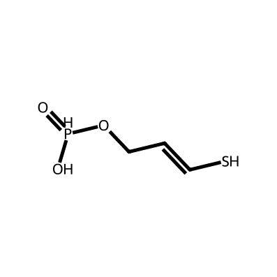 O=[PH](O)OCC=CS